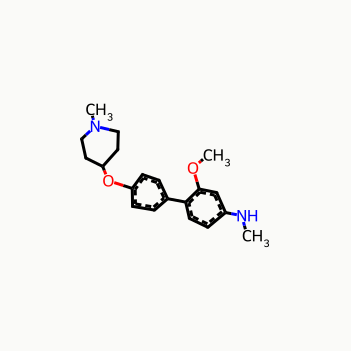 CNc1ccc(-c2ccc(OC3CCN(C)CC3)cc2)c(OC)c1